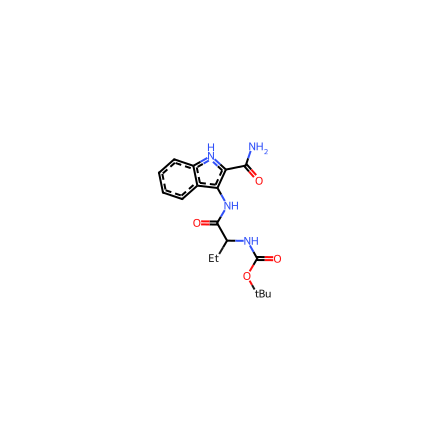 CCC(NC(=O)OC(C)(C)C)C(=O)Nc1c(C(N)=O)[nH]c2ccccc12